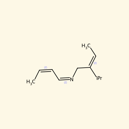 C/C=C\C=N/C/C(=C\C)C(C)C